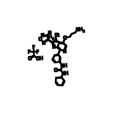 CCn1c(-c2nonc2N)nc2c(-c3cccc(NC(=O)Nc4ccccc4)c3)ncc(OCCCN)c21.O=C(O)C(F)(F)F